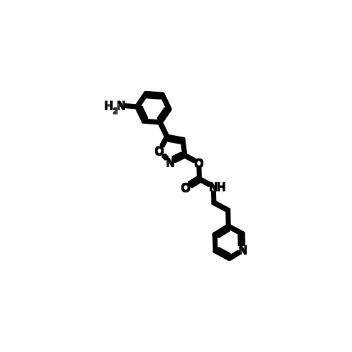 Nc1cccc(-c2cc(OC(=O)NCCc3cccnc3)no2)c1